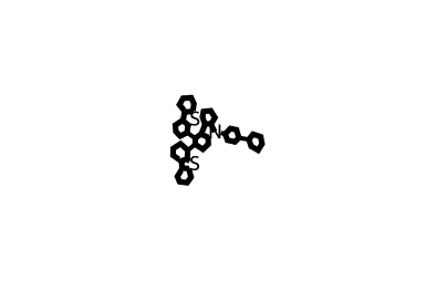 c1ccc(-c2ccc(-n3c4ccccc4c4c(-c5cccc6c5sc5ccccc56)c(-c5cccc6c5sc5ccccc56)ccc43)cc2)cc1